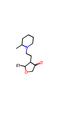 CCC1OCC(=O)C1CCN1CCCCC1C